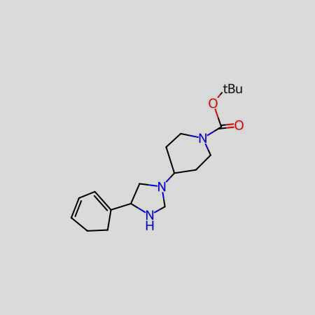 CC(C)(C)OC(=O)N1CCC(N2CNC(C3=CC=CCC3)C2)CC1